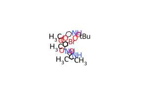 Cc1cc(C)c(CNC(=O)c2cc(Br)c3c(c2C)OC(C)(C[C@H]2CC[C@@H](NC(=O)OC(C)(C)C)CC2)O3)c(=O)[nH]1